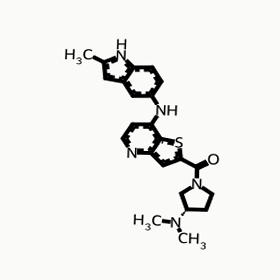 Cc1cc2cc(Nc3ccnc4cc(C(=O)N5CC[C@H](N(C)C)C5)sc34)ccc2[nH]1